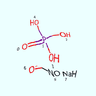 O=P(O)(O)O.O=[NH+][O-].[NaH]